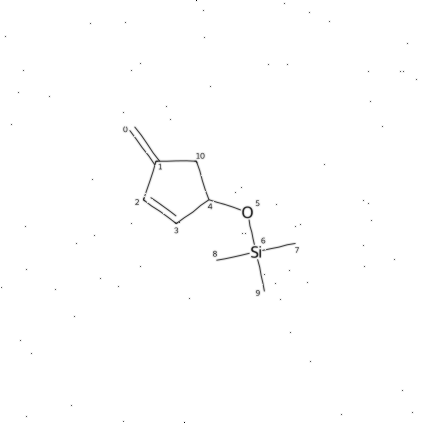 C=C1C=CC(O[Si](C)(C)C)C1